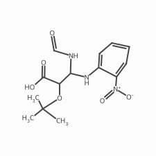 CC(C)(C)OC(C(=O)O)C(NC=O)Nc1ccccc1[N+](=O)[O-]